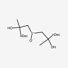 CCCCCCCCCCC(C)(O)C[S+]([O-])CC(C)(O)CCCCCCCCCC